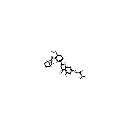 COc1ccc(-c2cc(=O)c3c(O)cc(OCC(=O)N(C)C)cc3o2)cc1OC1CC2CCC1C2